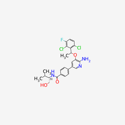 CC(Oc1cc(-c2ccc(C(=O)N[C@H](CO)C(C)C)cc2)cnc1N)c1c(Cl)ccc(F)c1Cl